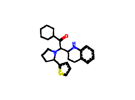 O=C(C1CCCCC1)C(C1CCc2ccccc2N1)N1CCCC1c1cccs1